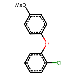 COc1ccc(Oc2ccccc2Cl)cc1